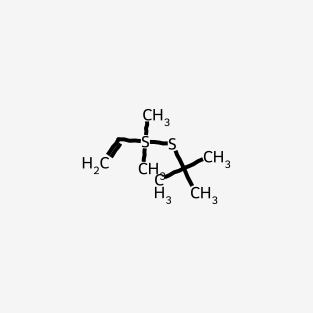 C=CS(C)(C)SC(C)(C)C